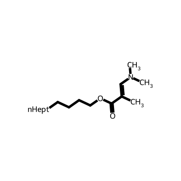 CCCCCCCCCCCOC(=O)C(C)=CN(C)C